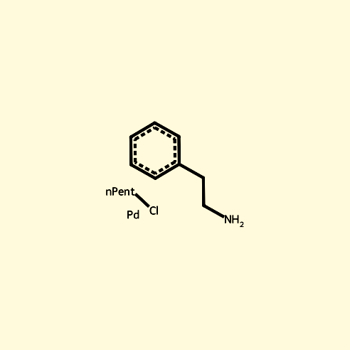 CCCCCCl.NCCc1ccccc1.[Pd]